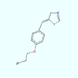 CC(C)CCOc1ccc(C=C2CN=CS2)cc1